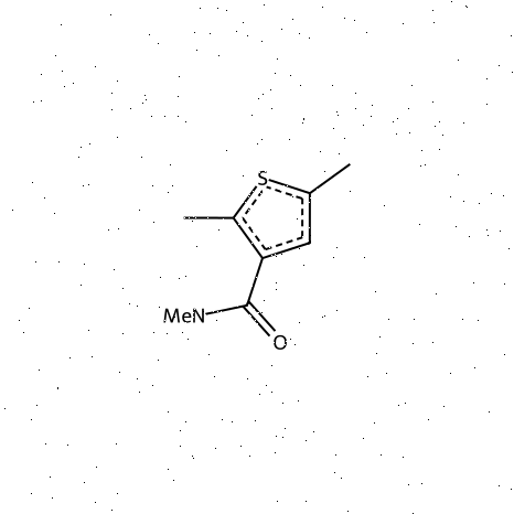 CNC(=O)c1cc(C)sc1C